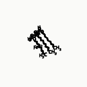 CCCCCCCCCCO[PH](=O)[O-].CCCCCCCCCCO[PH](=O)[O-].CCCCCCCCCCO[PH](=O)[O-].[Fe+3]